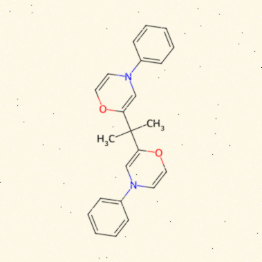 CC(C)(C1=CN(c2ccccc2)C=CO1)C1=CN(c2ccccc2)C=CO1